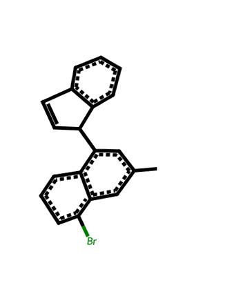 Cc1cc(C2C=Cc3ccccc32)c2cccc(Br)c2c1